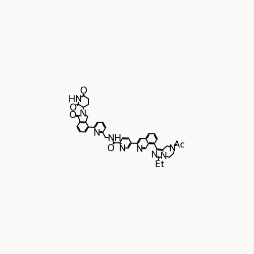 CCc1nc(-c2cccc3cc(-c4ccc(C(=O)NCc5cccc(-c6cccc7c6CN(C6CCC(=O)NC6=O)C7=O)n5)nc4)ncc23)c2n1CCN(C(C)=O)C2